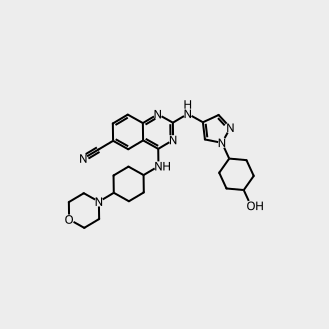 N#Cc1ccc2nc(Nc3cnn(C4CCC(O)CC4)c3)nc(NC3CCC(N4CCOCC4)CC3)c2c1